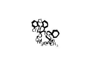 CCOC(=O)C(c1ccccc1Nc1c(Cl)cccc1Cl)N(CCN(C)C)CC1(SN=O)CCCCC1